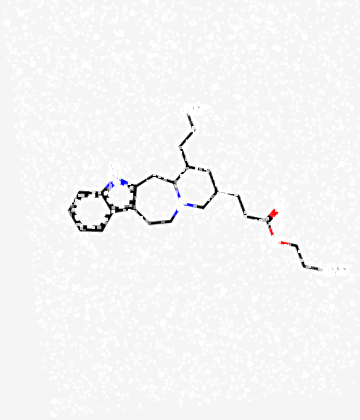 COCCOC(=O)CC[C@@H]1CC(CCOC)C2Cc3[nH]c4ccccc4c3CCN2C1